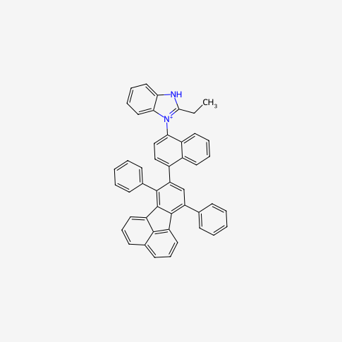 CCc1[nH]c2ccccc2[n+]1-c1ccc(-c2cc(-c3ccccc3)c3c(c2-c2ccccc2)-c2cccc4cccc-3c24)c2ccccc12